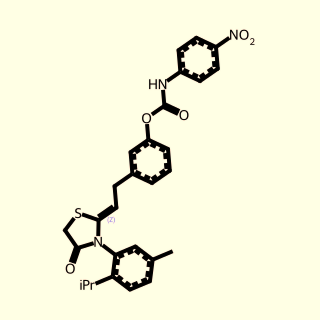 Cc1ccc(C(C)C)c(N2C(=O)CS/C2=C\Cc2cccc(OC(=O)Nc3ccc([N+](=O)[O-])cc3)c2)c1